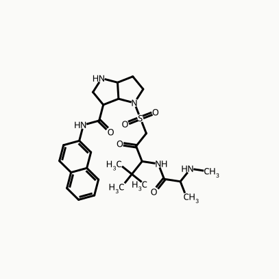 CNC(C)C(=O)NC(C(=O)CS(=O)(=O)N1CCC2NCC(C(=O)Nc3ccc4ccccc4c3)C21)C(C)(C)C